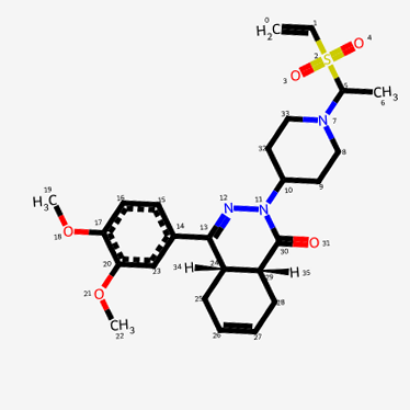 C=CS(=O)(=O)C(C)N1CCC(N2N=C(c3ccc(OC)c(OC)c3)[C@H]3CC=CC[C@H]3C2=O)CC1